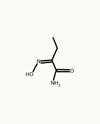 CCC(=NO)C(N)=O